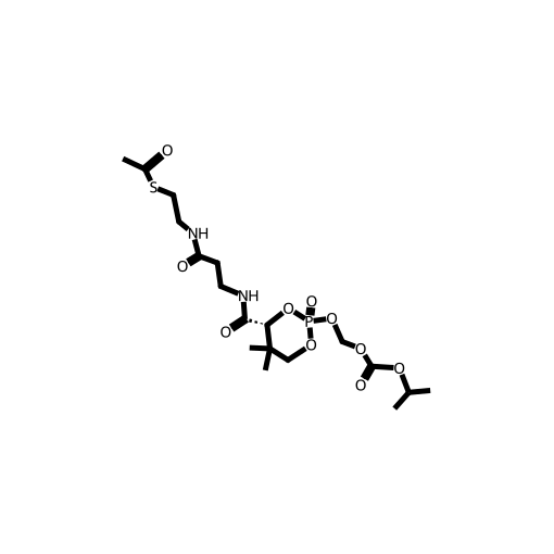 CC(=O)SCCNC(=O)CCNC(=O)[C@@H]1OP(=O)(OCOC(=O)OC(C)C)OCC1(C)C